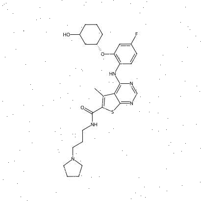 Cc1c(C(=O)NCCCN2CCCC2)sc2ncnc(Nc3ccc(F)cc3O[C@H]3CCCC(O)C3)c12